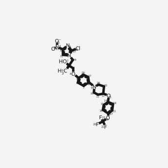 CC(O)(COc1ccc(N2CCC(Oc3ccc(OC(F)(F)F)cc3)CC2)cc1)Cn1cc([N+](=O)[O-])nc1Cl